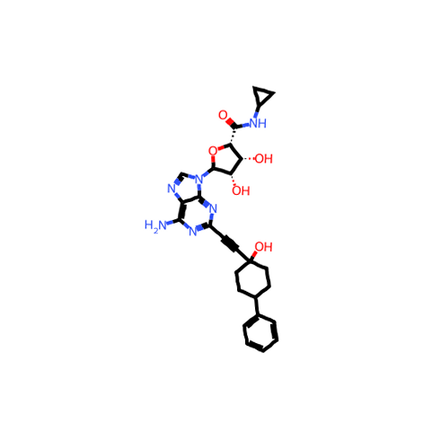 Nc1nc(C#CC2(O)CCC(c3ccccc3)CC2)nc2c1ncn2C1O[C@H](C(=O)NC2CC2)[C@H](O)[C@@H]1O